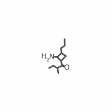 CCCC1CC(C(=O)C(C)CC)C1N